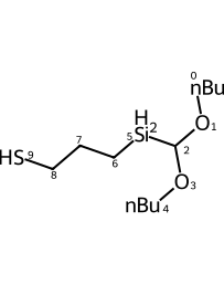 CCCCOC(OCCCC)[SiH2]CCCS